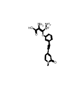 Cn1ccc(C#Cc2cccc(O/C(NN)=C(/N)C(=O)O)c2)cc1=O